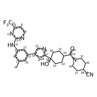 Cc1cc(Nc2nccc(C(F)(F)F)n2)cc(-c2cnc(C3(O)CCC(C(=O)N4CCC(C#N)CC4)CC3)s2)c1